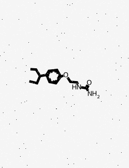 CCC(CC)c1ccc(OCCNC(N)=O)cc1